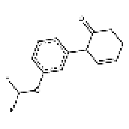 O=C1CCC=CC1c1cccc(OC(F)F)c1